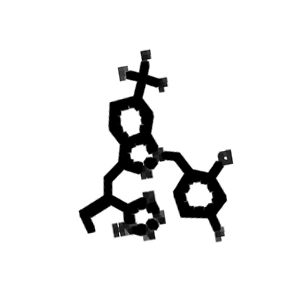 CC=C(Cc1nn(Cc2ccc(F)cc2Cl)c2cc(C(F)(F)F)ccc12)c1nnn[nH]1